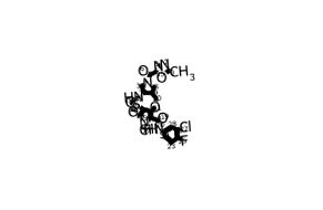 Cc1nnc(C(=O)N2CC3COc4c(cn(C)c4C(=O)Nc4ccc(F)c(Cl)c4)S(=O)(=O)NC3C2)o1